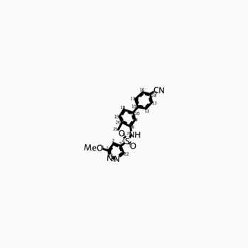 COc1cc(S(=O)(=O)Nc2cc(-c3ccc(C#N)cc3)ccc2C)cnn1